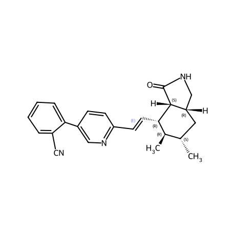 C[C@H]1[C@H](/C=C/c2ccc(-c3ccccc3C#N)cn2)[C@@H]2C(=O)NC[C@@H]2C[C@@H]1C